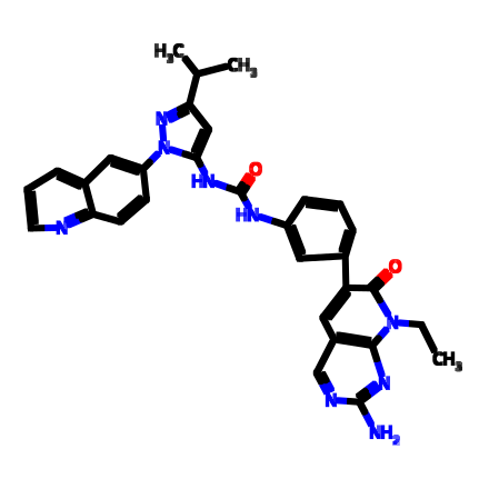 CCn1c(=O)c(-c2cccc(NC(=O)Nc3cc(C(C)C)nn3-c3ccc4ncccc4c3)c2)cc2cnc(N)nc21